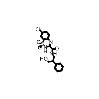 O=C(NCC(CO)c1ccccc1)C1=Nc2ccc(Cl)cc2S(=O)(=O)N1